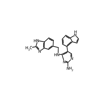 Cc1nc2cc(CNc3nc(N)ncc3-c3cccc4[nH]ccc34)ccc2[nH]1